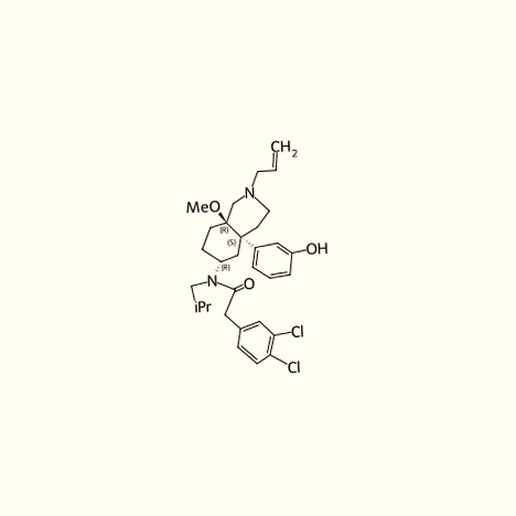 C=CCN1CC[C@@]2(c3cccc(O)c3)C[C@H](N(CC(C)C)C(=O)Cc3ccc(Cl)c(Cl)c3)CC[C@]2(OC)C1